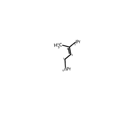 CCCCC=C(C)C(C)C